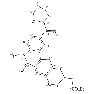 CCOC(=O)CC1COc2cc(C(=O)N(C)c3ccc(C(=N)N4CCOCC4)cc3)ccc2C1